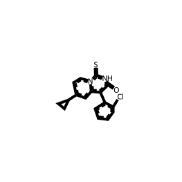 O=c1[nH]c(=S)n2ccc(C3CC3)cc2c1-c1ccccc1Cl